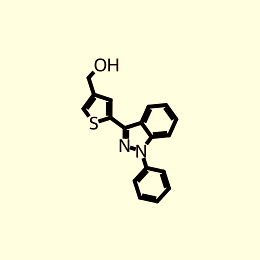 OCc1csc(-c2nn(-c3ccccc3)c3ccccc23)c1